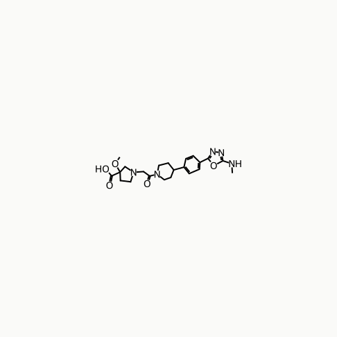 CNc1nnc(-c2ccc(C3CCN(C(=O)CN4CCC(OC)(C(=O)O)C4)CC3)cc2)o1